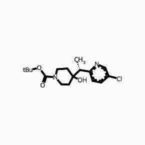 C[C@H](c1ccc(Cl)cn1)C1(O)CCN(C(=O)OC(C)(C)C)CC1